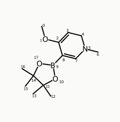 COC1=CCN(C)C=C1B1OC(C)(C)C(C)(C)O1